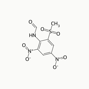 CS(=O)(=O)c1cc([N+](=O)[O-])cc([N+](=O)[O-])c1NC=O